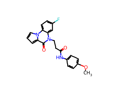 COc1ccc(NC(=O)CCn2c(=O)c3cccn3c3ccc(F)cc32)cc1